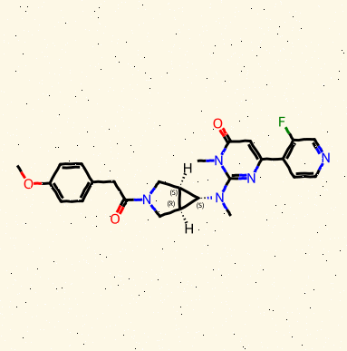 COc1ccc(CC(=O)N2C[C@@H]3[C@H](C2)[C@H]3N(C)c2nc(-c3ccncc3F)cc(=O)n2C)cc1